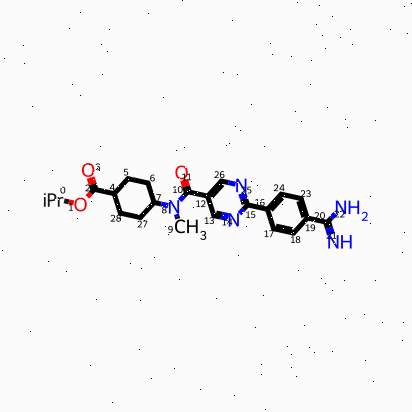 CC(C)OC(=O)C1CCC(N(C)C(=O)c2cnc(-c3ccc(C(=N)N)cc3)nc2)CC1